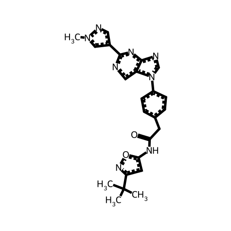 Cn1cc(-c2ncc3c(ncn3-c3ccc(CC(=O)Nc4cc(C(C)(C)C)no4)cc3)n2)cn1